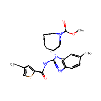 CC(C)(C)OC(=O)N1CCCC[C@@H](n2c(NC(=O)c3cc([N+](=O)[O-])cs3)nc3ccc(C=O)cc32)C1